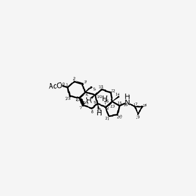 CC(=O)OC1CC[C@@]2(C)C(=CC[C@@H]3[C@H]2CC[C@]2(C)C(NC4CC4)CC[C@@H]32)C1